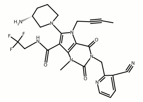 CC#CCn1c(N2CCC[C@@H](N)C2)c(C(=O)NCC(F)(F)F)c2c1c(=O)n(Cc1ncccc1C#N)c(=O)n2C